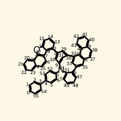 c1ccc(-c2ccc(-n3c4cc(-c5cccc6oc7c8ccccc8ccc7c56)cc(c4)c4cc(cc5ccc6ccccc6c54)c4ccccc43)cc2)cc1